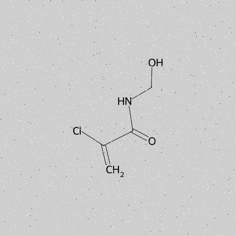 C=C(Cl)C(=O)NCO